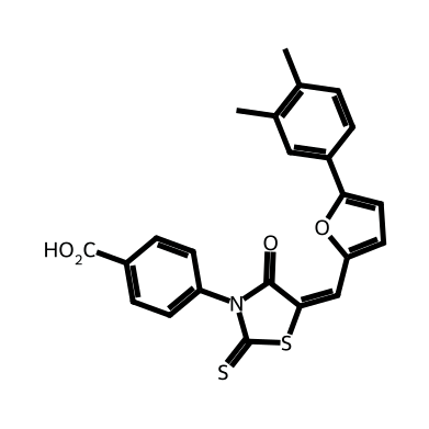 Cc1ccc(-c2ccc(C=C3SC(=S)N(c4ccc(C(=O)O)cc4)C3=O)o2)cc1C